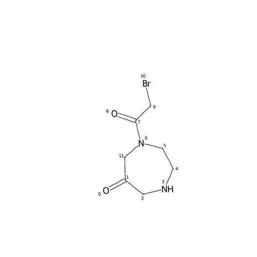 O=C1CNCCN(C(=O)CBr)C1